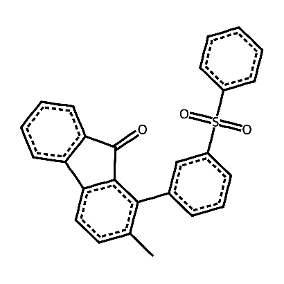 Cc1ccc2c(c1-c1cccc(S(=O)(=O)c3ccccc3)c1)C(=O)c1ccccc1-2